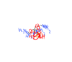 NN.NNCCC1OCC2(CO1)COC(CCNN)OC2.O=S(=O)(O)O